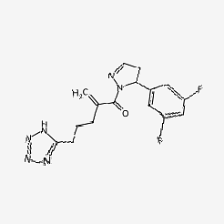 C=C(CCCc1nnn[nH]1)C(=O)N1N=CCC1c1cc(F)cc(F)c1